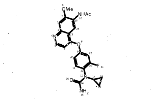 COc1cc2nccc(Oc3ccc(N(C(N)=O)C4CC4)c(F)c3)c2cc1NC(C)=O